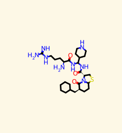 N=C(N)NCCC[C@H](N)C(=O)NC(NC(=O)[C@@H]1CSC2CC[C@@H](CC3CCCCC3)C(=O)N21)C1CCNCC1